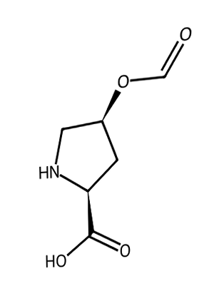 O=CO[C@@H]1CN[C@H](C(=O)O)C1